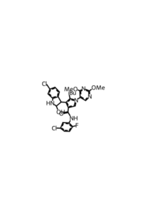 CCC(C)c1c(C2c3ccc(Cl)cc3NC2O)c(C(=O)Nc2cc(Cl)ccc2F)cn1-c1cnc(OC)nc1OC